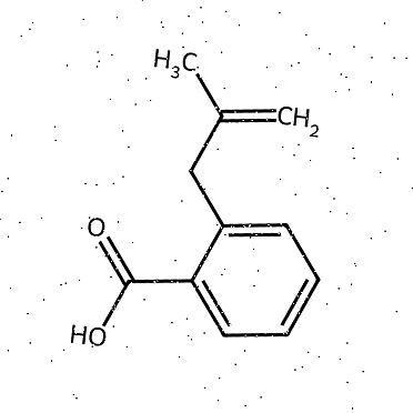 C=C(C)Cc1ccccc1C(=O)O